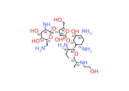 C[C@H](NCCO)[C@@H]1CC[C@@H](N)[C@@H](C2[C@@H](N)C[C@@H](N)[C@H](O)[C@H]2O[C@@H]2O[C@H](CO)[C@@H](O[C@H]3O[C@@H](CN)[C@@H](O)[C@H](O)[C@H]3N)[C@H]2O)O1